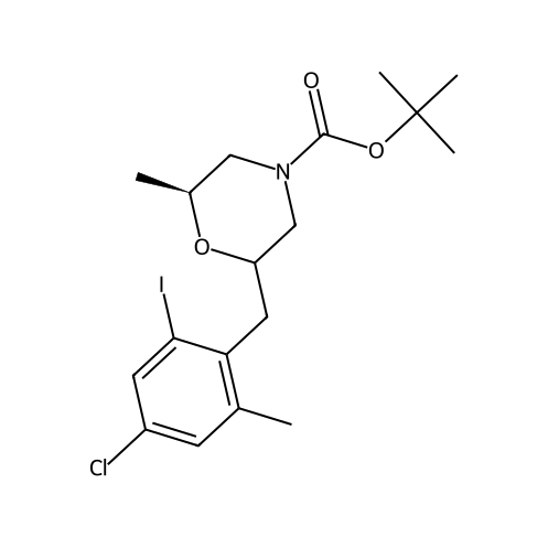 Cc1cc(Cl)cc(I)c1CC1CN(C(=O)OC(C)(C)C)C[C@H](C)O1